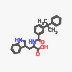 CC(C)(c1ccccc1)c1cccc(C(=O)NC(Cc2c[nH]c3ccccc23)C(=O)O)c1